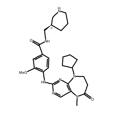 COc1cc(C(=O)NC[C@@H]2CCCNC2)ccc1Nc1ncc2c(n1)N(C1CCCC1)CCC(=O)N2C